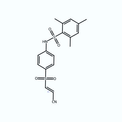 Cc1cc(C)c(S(=O)(=O)Nc2ccc(S(=O)(=O)/C=C/C#N)cc2)c(C)c1